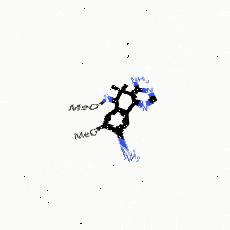 CO/N=C1\c2cc(OC)c(N)cc2-c2ncnc(N)c2C1(C)C